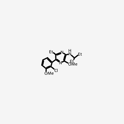 CCc1nc(NC(CC)CC)c(OC)nc1-c1cccc(OC)c1Cl